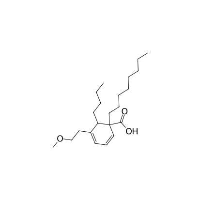 CCCCCCCCC1(C(=O)O)C=CC=C(CCOC)C1CCCC